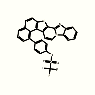 O=S(=O)(Oc1ccc(-c2cccc3ccc4sc5c(ccn6c7ccccc7nc56)c4c23)cc1)C(F)(F)F